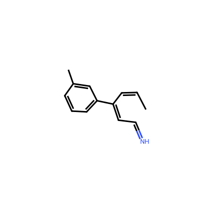 C/C=C\C(=C/C=N)c1cccc(C)c1